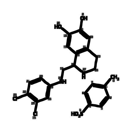 Cc1ccc(S(=O)(=O)O)cc1.Oc1cc2c(cc1O)C(CNc1ccc(Cl)c(Cl)c1)NCC2